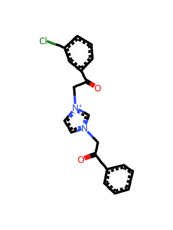 O=C(Cn1cc[n+](CC(=O)c2cccc(Cl)c2)c1)c1ccccc1